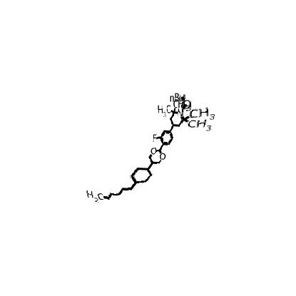 C=CCC/C=C/C1CCC(C2COC(c3ccc(C4CC(C)(C)N(OCCCC)C(C)(C)C4)cc3F)OC2)CC1